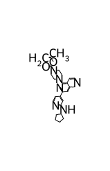 C=C(C)OC(=O)N1CCN(c2nc(-c3ccnc(NC4CCCC4)c3)cc3cnccc23)CC1